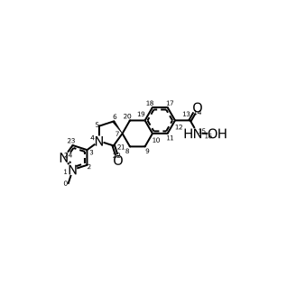 Cn1cc(N2CC[C@@]3(CCc4cc(C(=O)NO)ccc4C3)C2=O)cn1